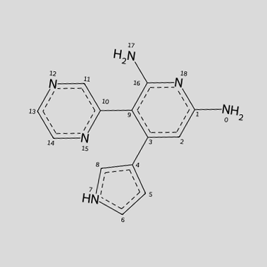 Nc1cc(-c2cc[nH]c2)c(-c2cnccn2)c(N)n1